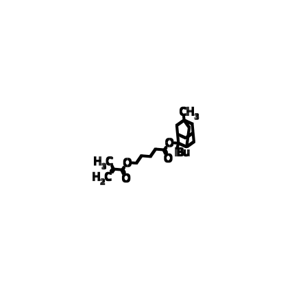 C=C(C)C(=O)OCCCCC(=O)OC1(C(C)CC)C2CC3CC1CC(C)(C3)C2